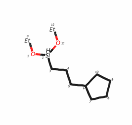 CCO[SiH](CCCC1CCCC1)OCC